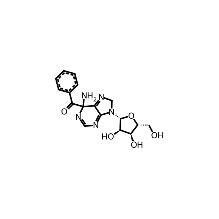 NC1(C(=O)c2ccccc2)N=CN=C2C1=NCN2[C@@H]1O[C@H](CO)[C@@H](O)[C@H]1O